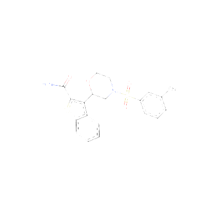 N#Cc1cccc(S(=O)(=O)N2CCOC(c3c(C(N)=O)sc4ccccc34)C2)c1